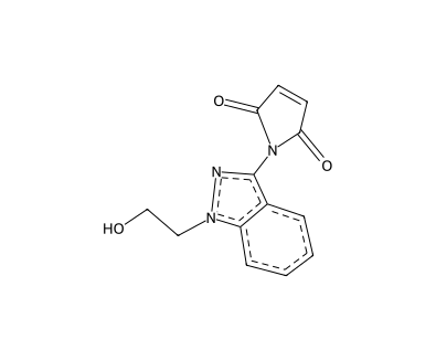 O=C1C=CC(=O)N1c1nn(CCO)c2ccccc12